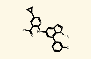 Cn1ccc2cc(Nc3ncc(C4CC4)cc3C(=O)O)cc(-c3cccc(Cl)c3)c21